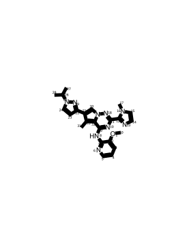 COc1cccnc1Nc1nc(-c2nccn2C)nn2cc(-c3ccn(C(C)C)n3)c(C)c12